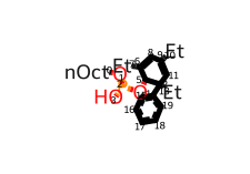 CCCCCCCCOP(O)OC1C(CC)=CC(CC)=CC1(CC)c1ccccc1